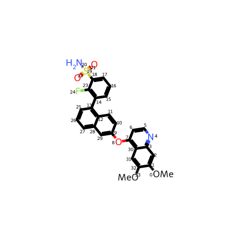 COc1cc2nccc(Oc3ccc4c(-c5cccc(S(N)(=O)=O)c5F)cccc4c3)c2cc1OC